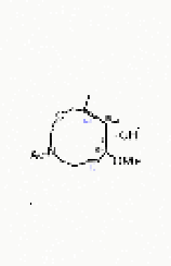 CO[C@H]1/C=C/CCN(C(C)=O)CCOC/C(C)=C\[C@@H](C)[C@@H]1O